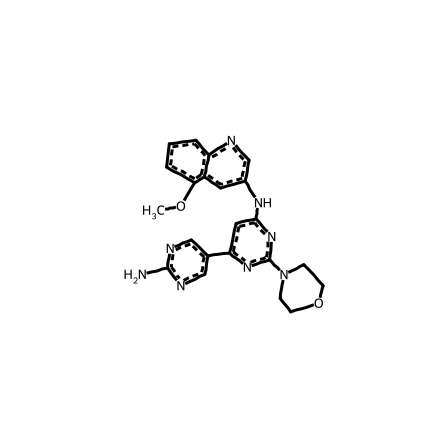 COc1cccc2ncc(Nc3cc(-c4cnc(N)nc4)nc(N4CCOCC4)n3)cc12